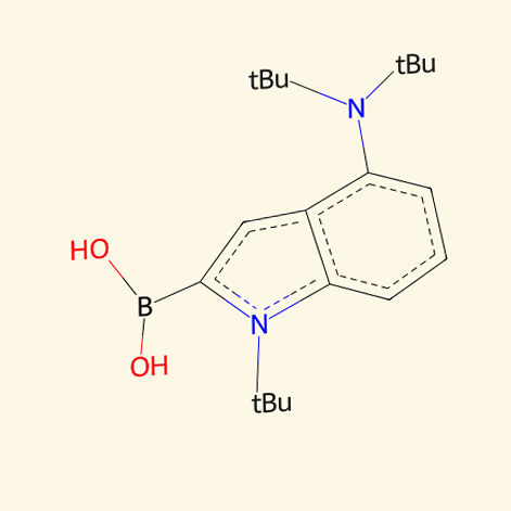 CC(C)(C)N(c1cccc2c1cc(B(O)O)n2C(C)(C)C)C(C)(C)C